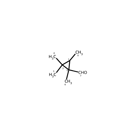 CC1C(C)(C)C1(C)C=O